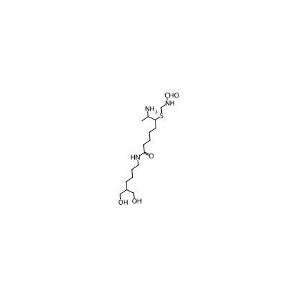 CC(N)C(CCCCC(=O)NCCCCC(CO)CO)SCNC=O